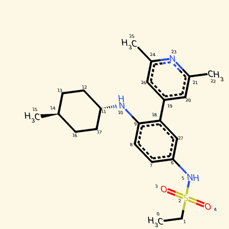 CCS(=O)(=O)Nc1ccc(N[C@H]2CC[C@H](C)CC2)c(-c2cc(C)nc(C)c2)c1